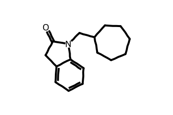 O=C1Cc2ccccc2N1CC1CCCCCC1